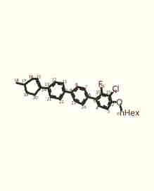 CCCCCCOc1ccc(-c2ccc(-c3ccc(C4=CCC(C)CC4)cc3)cc2)c(F)c1Cl